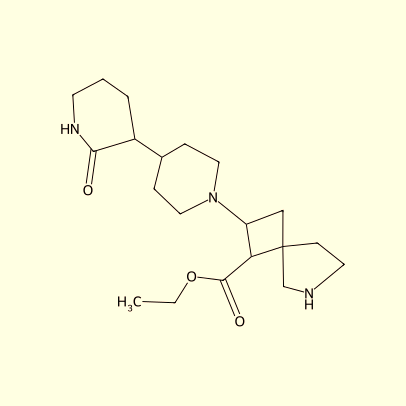 CCOC(=O)C1C(N2CCC(C3CCCNC3=O)CC2)CC12CCNC2